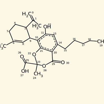 C=C(C)C1CCC(C)=CC1c1c(O)cc(CCCCC)c2c1OC(C)(C(=O)O)OC2=O